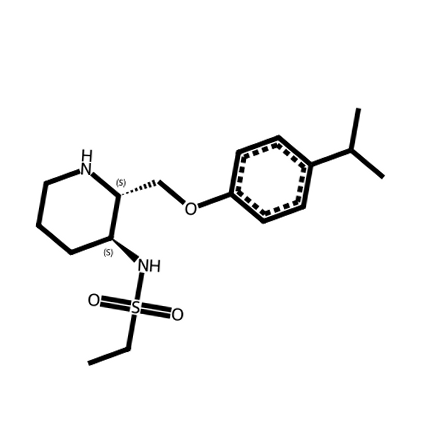 CCS(=O)(=O)N[C@H]1CCCN[C@@H]1COc1ccc(C(C)C)cc1